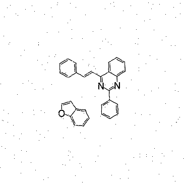 C(=Cc1nc(-c2ccccc2)nc2ccccc12)c1ccccc1.c1ccc2occc2c1